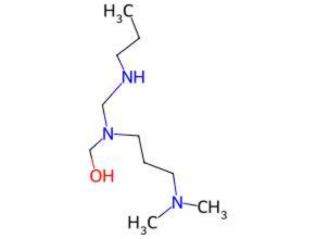 CCCNCN(CO)CCCN(C)C